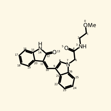 COCCNC(=O)Cn1cc(/C=C2\C(=O)Nc3ccccc32)c2ccccc21